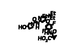 CCN(CC)CC.O=C(Nc1cc(Oc2cc(F)c(NC(=O)C3(C(=O)O)CC3)cc2F)ccn1)N1CC[C@@H](O)C1